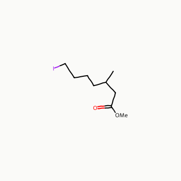 COC(=O)CC(C)CCCCI